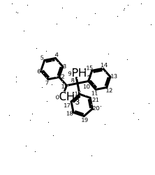 CC(c1ccccc1)C(P)(c1ccccc1)c1ccccc1